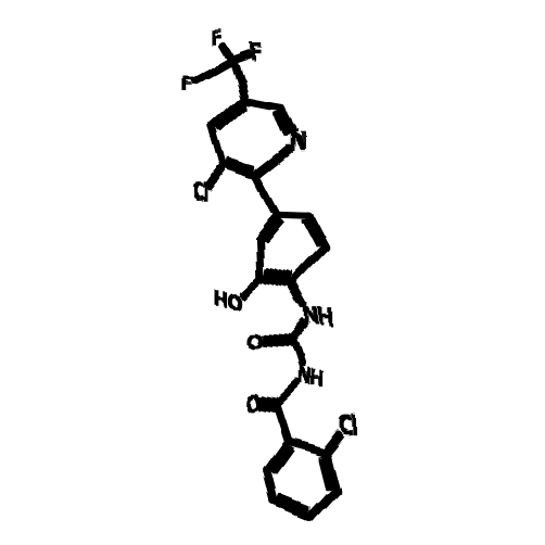 O=C(NC(=O)c1ccccc1Cl)Nc1ccc(-c2ncc(C(F)(F)F)cc2Cl)cc1O